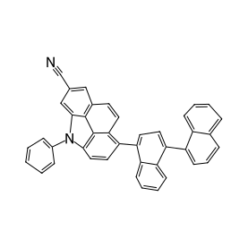 N#Cc1cc2ccc3c(-c4ccc(-c5cccc6ccccc56)c5ccccc45)ccc4c3c2c(c1)n4-c1ccccc1